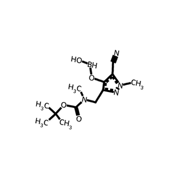 CN(Cc1nn(C)c(C#N)c1OBO)C(=O)OC(C)(C)C